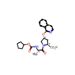 CC(C)(C)[C@H](NC(=O)OC1CCCC1)C(=O)N1C[C@H](Oc2nccc3ccccc23)C[C@H]1C(=O)O